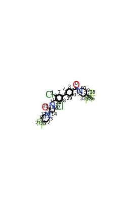 O=C(c1ccc(-c2cc(Cl)c(CN3CC[C@@H](N4CCC(F)(F)CC4)C3=O)c(Cl)c2)cc1)N1CCC(C(F)(F)F)CC1